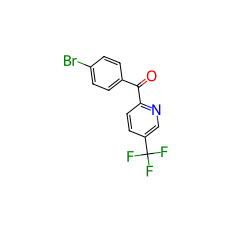 O=C(c1ccc(Br)cc1)c1ccc(C(F)(F)F)cn1